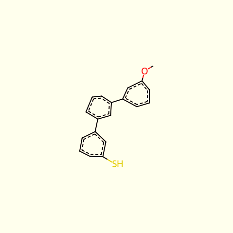 COc1cccc(-c2cccc(-c3cccc(S)c3)c2)c1